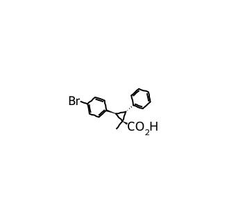 C[C@@]1(C(=O)O)[C@@H](c2ccccc2)[C@@H]1c1ccc(Br)cc1